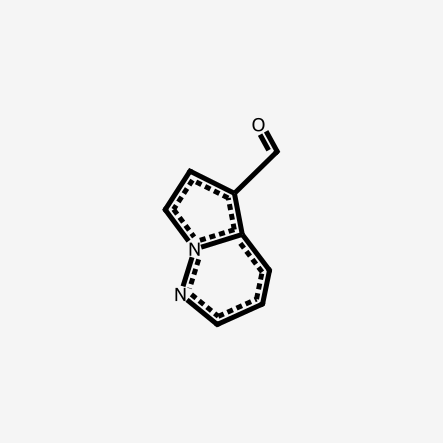 O=Cc1ccn2ncccc12